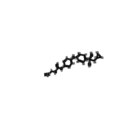 CCOC(=O)Oc1ccc(Oc2ccc(S(=O)(=O)CC3CC3)cc2)cc1